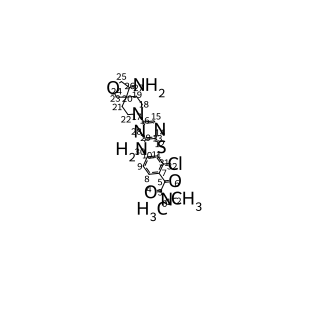 CN(C)C(=O)C(=O)c1cccc(Sc2ncc(N3CCC4(CC3)COC[C@H]4N)nc2N)c1Cl